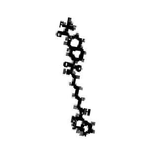 O=C(N1CCc2ccc(S(=O)(=O)NCCCCCCNc3nsc4nccn34)cc2C1)C(F)(F)F